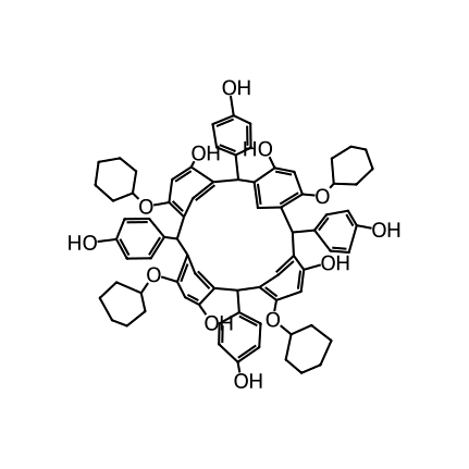 Oc1ccc(C2c3cc(c(OC4CCCCC4)cc3O)C(c3ccc(O)cc3)c3cc(c(OC4CCCCC4)cc3O)C(c3ccc(O)cc3)c3cc(c(OC4CCCCC4)cc3O)C(c3ccc(O)cc3)c3cc2c(O)cc3OC2CCCCC2)cc1